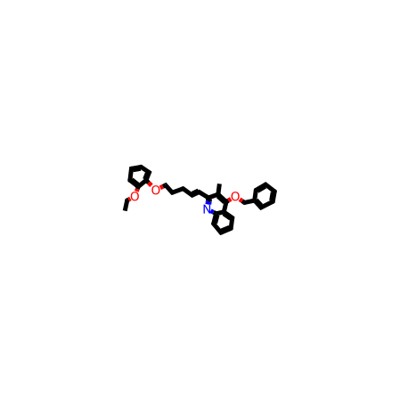 CCOc1ccccc1OCCCC=Cc1nc2ccccc2c(OCc2ccccc2)c1C